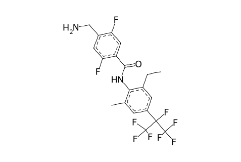 CCc1cc(C(F)(C(F)(F)F)C(F)(F)F)cc(C)c1NC(=O)c1cc(F)c(CN)cc1F